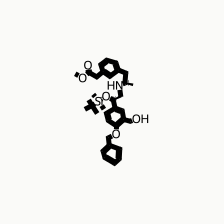 COC(=O)Cc1cccc(C[C@@H](C)NC[C@H](O[Si](C)(C)C(C)(C)C)c2ccc(OCc3ccccc3)c(CO)c2)c1